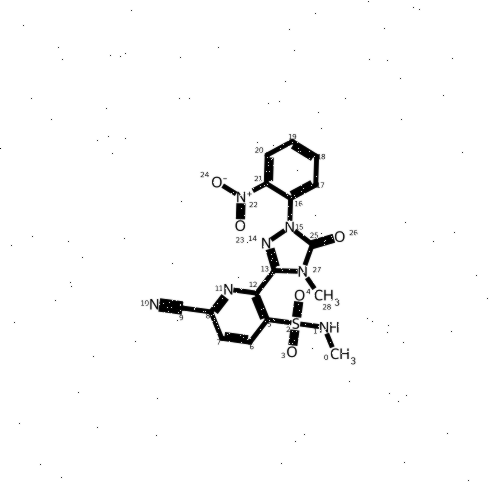 CNS(=O)(=O)c1ccc(C#N)nc1-c1nn(-c2ccccc2[N+](=O)[O-])c(=O)n1C